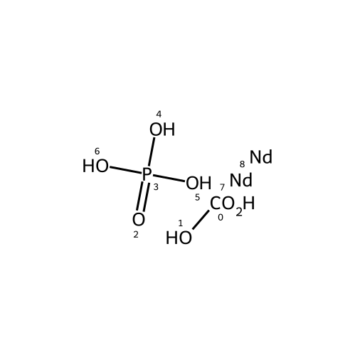 O=C(O)O.O=P(O)(O)O.[Nd].[Nd]